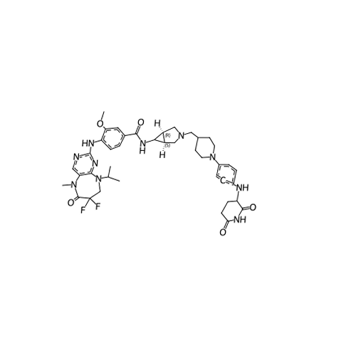 COc1cc(C(=O)NC2[C@H]3CN(CC4CCN(c5ccc(NC6CCC(=O)NC6=O)cc5)CC4)C[C@@H]23)ccc1Nc1ncc2c(n1)N(C(C)C)CC(F)(F)C(=O)N2C